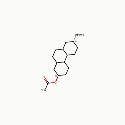 CCCCCCC[C@@H]1CCC2C(CCC3C[C@H](OC(=O)CCCC)CCC32)C1